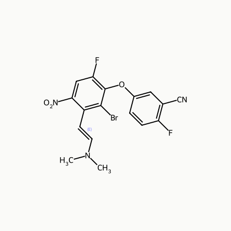 CN(C)/C=C/c1c([N+](=O)[O-])cc(F)c(Oc2ccc(F)c(C#N)c2)c1Br